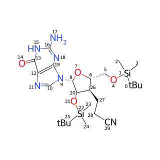 CC(C)(C)[Si](C)(C)OC[C@H]1O[C@@H](n2cnc3c(=O)[nH]c(N)nc32)C(O[Si](C)(C)C(C)(C)C)[C@@H]1CCC#N